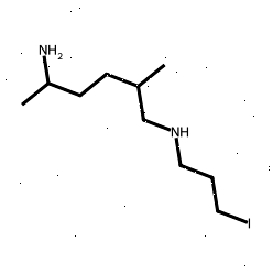 CC(N)CCC(C)CNCCCI